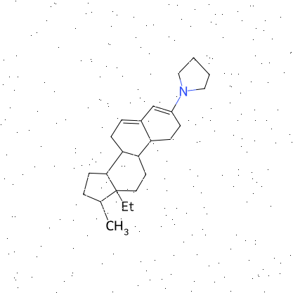 CCC12CCC3C4CCC(N5CCCC5)=CC4=CCC3C1CCC2C